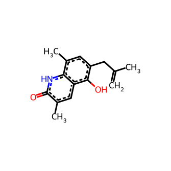 C=C(C)Cc1cc(C)c2[nH]c(=O)c(C)cc2c1O